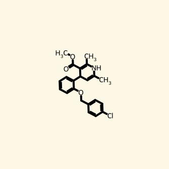 COC(=O)C1=C(C)NC(C)=CC1c1ccccc1OCc1ccc(Cl)cc1